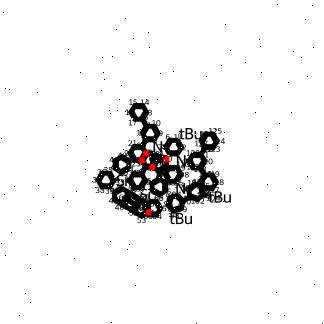 CC(C)(C)c1cc2c3c(c1)N(c1ccc(-c4ccccc4)cc1-c1ccccc1)c1ccc(-c4cc([Si](c5ccccc5)(c5ccccc5)c5cccc(-c6ccccc6)c5)cc([Si](c5ccccc5)(c5ccccc5)c5cccc(-c6ccccc6)c5)c4)cc1B3c1ccc(-n3c4ccc(C(C)(C)C)cc4c4cc(C(C)(C)C)ccc43)cc1N2c1cc(-c2ccccc2)cc(-c2ccccc2)c1